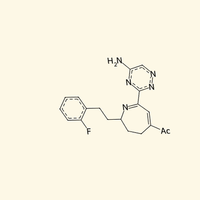 CC(=O)C1=CC(c2nncc(N)n2)=NC(CCc2ccccc2F)CC1